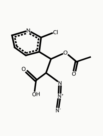 CC(=O)OC(c1cccnc1Cl)C(N=[N+]=[N-])C(=O)O